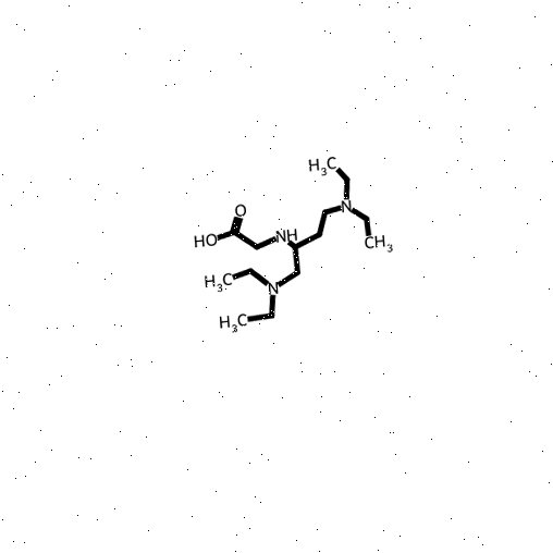 CCN(CC)CCC(CN(CC)CC)NCC(=O)O